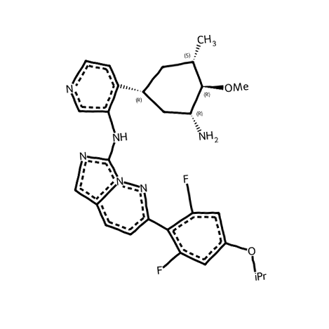 CO[C@H]1[C@H](N)C[C@H](c2ccncc2Nc2ncc3ccc(-c4c(F)cc(OC(C)C)cc4F)nn23)C[C@@H]1C